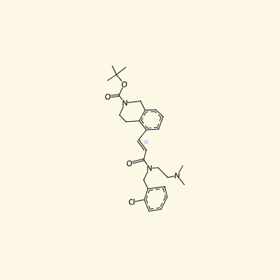 CN(C)CCN(Cc1ccccc1Cl)C(=O)/C=C/c1cccc2c1CCN(C(=O)OC(C)(C)C)C2